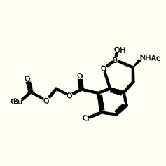 CC(=O)N[C@H]1Cc2ccc(Cl)c(C(=O)OCOC(=O)C(C)(C)C)c2OB1O